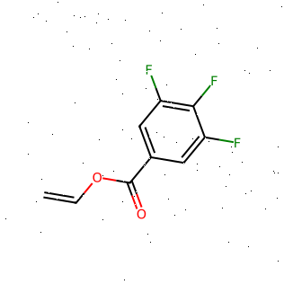 C=COC(=O)c1cc(F)c(F)c(F)c1